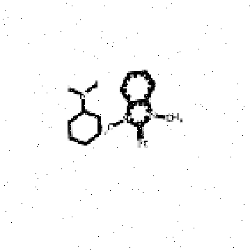 Cn1[c](=[Pt])n(C)c2ccccc21.IN(I)C1CCCCC1